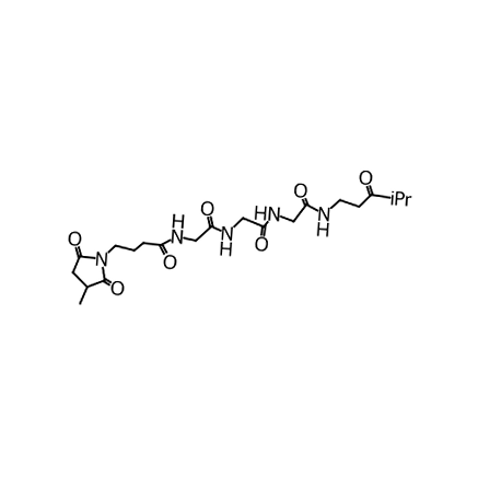 CC(C)C(=O)CCNC(=O)CNC(=O)CNC(=O)CNC(=O)CCCN1C(=O)CC(C)C1=O